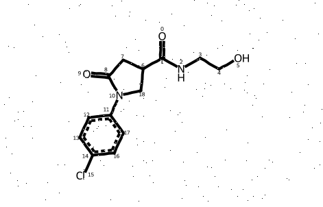 O=C(NCCO)C1CC(=O)N(c2ccc(Cl)cc2)C1